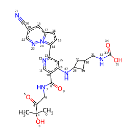 CC(C)(O)C(=O)CNC(=O)c1cnc(-c2ccc3cc(C#N)cnn23)cc1NC1CC(CNC(=O)O)C1